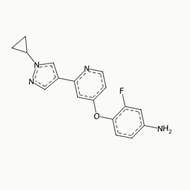 Nc1ccc(Oc2ccnc(-c3cnn(C4CC4)c3)c2)c(F)c1